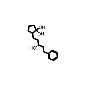 O[C@@H](CCc1ccccc1)CCC1CCCC1(O)O